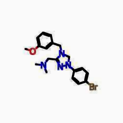 COc1cccc(CN2CN(c3ccc(Br)cc3)N=C2CN(C)C)c1